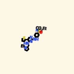 CCOC(=O)N=S(C)(=O)c1ccc(Nc2ncc(-c3cccs3)c(NCC3CCCN3CC)n2)cc1